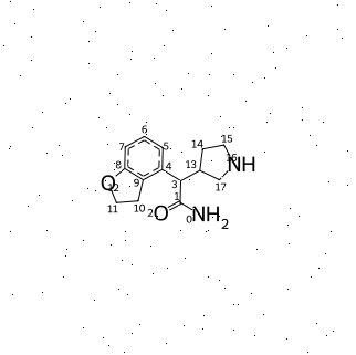 NC(=O)C(c1cccc2c1CCO2)C1CCNC1